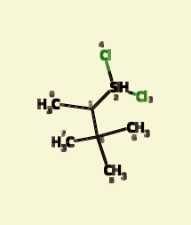 CC([SiH](Cl)Cl)C(C)(C)C